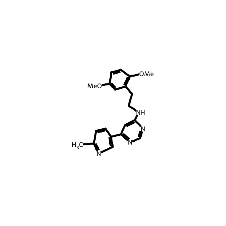 COc1ccc(OC)c(CCNc2cc(-c3ccc(C)nc3)ncn2)c1